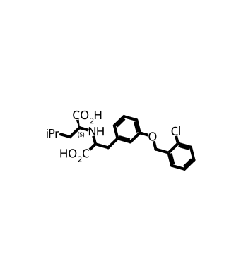 CC(C)C[C@H](NC(Cc1cccc(OCc2ccccc2Cl)c1)C(=O)O)C(=O)O